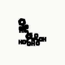 O=C(O)C(=O)Nc1sc(CNS(=O)(=O)c2ccccc2)cc1C(=O)O